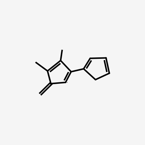 C=C1[C]=C(C2=CC=CC2)C(C)=C1C